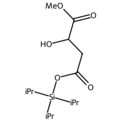 COC(=O)C(O)CC(=O)O[Si](C(C)C)(C(C)C)C(C)C